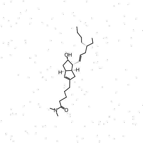 CCCC[C@H](CC)C/C=C/[C@@H]1[C@H]2CC(CCCCC(=O)N(C)C)=C[C@H]2C[C@H]1O